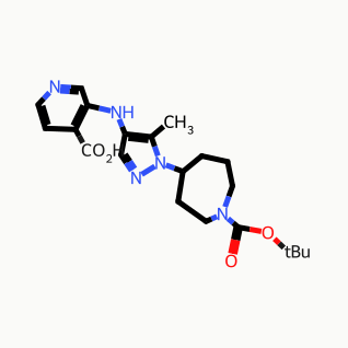 Cc1c(Nc2cnccc2C(=O)O)cnn1C1CCCN(C(=O)OC(C)(C)C)CC1